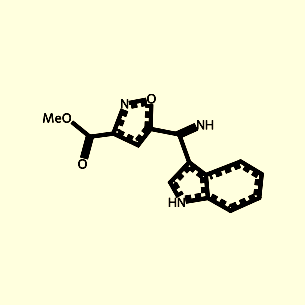 COC(=O)c1cc(C(=N)c2c[nH]c3ccccc23)on1